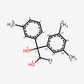 CCC(O)C(O)(c1cccc(C)c1)c1cc(C)cc(C)c1